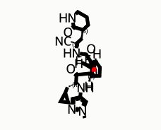 Cn1cc(N[C@H](CC2CC2)C(=O)N2[C@H]3CC[C@@H]([C@H]2C(=O)N[C@H](C#N)C[C@@H]2CCCNC2=O)C(F)(F)C3)cn1